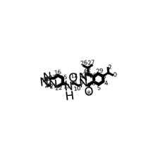 CC(C)c1ccc2c(=O)n(CC(=O)Nc3ccc4nncn4c3)nc(C(C)C)c2c1